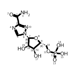 NC(=O)c1ncn([C@@H]2O[C@H](COP(=O)(O)O)[C@@H](O)[C@H]2O)n1